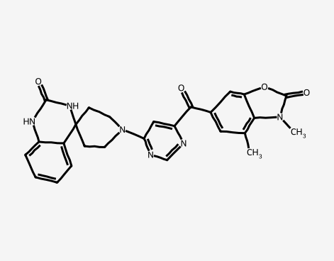 Cc1cc(C(=O)c2cc(N3CCC4(CC3)NC(=O)Nc3ccccc34)ncn2)cc2oc(=O)n(C)c12